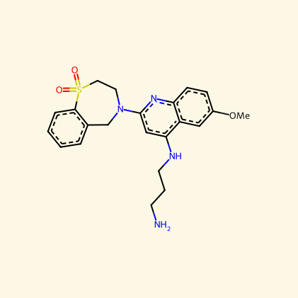 COc1ccc2nc(N3CCS(=O)(=O)c4ccccc4C3)cc(NCCCN)c2c1